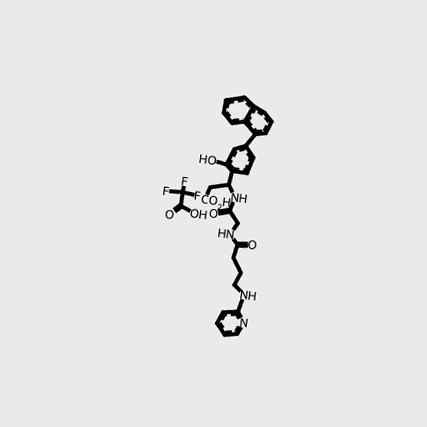 O=C(O)C(F)(F)F.O=C(O)CC(NC(=O)CNC(=O)CCCNc1ccccn1)c1ccc(-c2cccc3ccccc23)cc1O